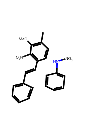 COc1c(C)ccc(C=Cc2ccccc2)c1[N+](=O)[O-].O=[N+]([O-])Nc1ccccc1